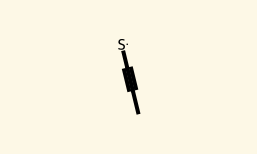 CC#C[S]